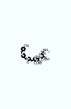 N#Cc1ccc(C[n+]2ccc(CN3CCC(=CC4=C(C(=O)[O-])N5C(=O)[C@@H](NC(=O)/C(=N\O)c6csc(N)n6)[C@H]5SC4)C3=O)cc2)cc1